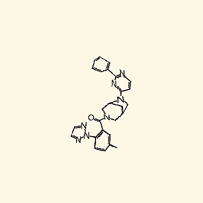 Cc1ccc(-n2nccn2)c(C(=O)N2CC3CC(C2)N(c2ccnc(-c4ccccc4)n2)C3)c1